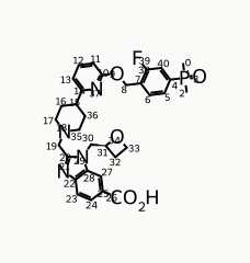 CP(C)(=O)c1ccc(COc2cccc(C3CCN(Cc4nc5ccc(C(=O)O)cc5n4C[C@@H]4CCO4)CC3)n2)c(F)c1